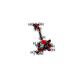 CC(C)C[C@H](NC(=O)[C@@H](CCCN(N)/C1=C(\N)CCC2[C@@H](COC(=O)NCCOCCOCCNC(=O)c3ccc4c(c3)C(=O)OC43c4ccc(O)cc4Oc4cc(O)ccc43)[C@H]2CC1)NC(=O)[C@H](Cc1ccc(O)cc1)NC(=O)[C@H](CO)NC(=O)[C@H](Cc1c[nH]c2ccccc12)NC(=O)[C@H](Cc1c[nH]cn1)NC=O)C(=O)N[C@@H](CCCNC(=N)N)C(=O)N1CCC[C@H]1CC(=O)NNC(N)=O